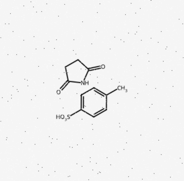 Cc1ccc(S(=O)(=O)O)cc1.O=C1CCC(=O)N1